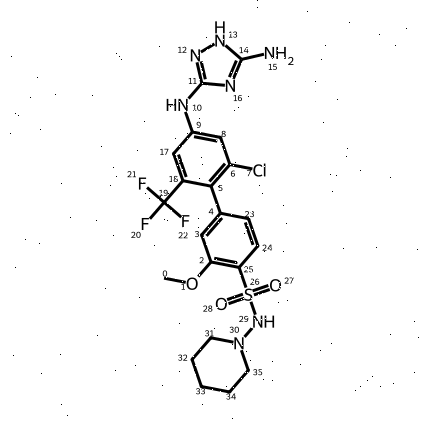 COc1cc(-c2c(Cl)cc(Nc3n[nH]c(N)n3)cc2C(F)(F)F)ccc1S(=O)(=O)NN1CCCCC1